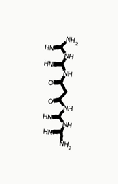 N=C(N)NC(=N)NC(=O)CC(=O)NC(=N)NC(=N)N